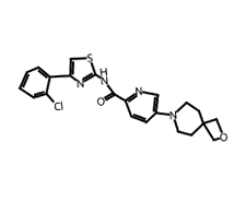 O=C(Nc1nc(-c2ccccc2Cl)cs1)c1ccc(N2CCC3(CC2)COC3)cn1